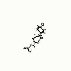 CC(C)CCN1CCN(c2ccc(Cl)cc2)CC1